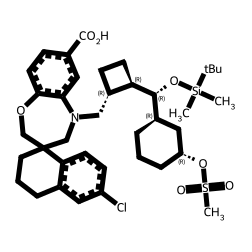 CC(C)(C)[Si](C)(C)O[C@H]([C@@H]1CCC[C@@H](OS(C)(=O)=O)C1)[C@@H]1CC[C@H]1CN1CC2(CCCc3cc(Cl)ccc32)COc2ccc(C(=O)O)cc21